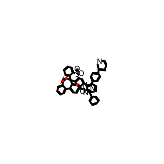 O=S1(=O)c2ccccc2C2(c3ccccc3-c3ccccc3-c3ccc(-c4nc(-c5ccccc5)nc(-c5ccc(-c6cccnc6)cc5)n4)cc32)c2cc3oc4ccccc4c3cc21